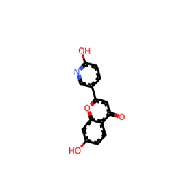 O=c1cc(-c2ccc(O)nc2)oc2cc(O)ccc12